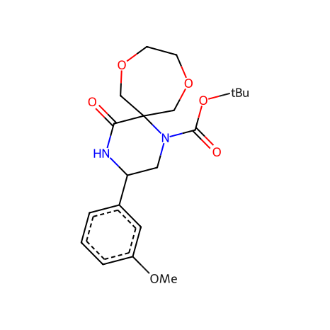 COc1cccc(C2CN(C(=O)OC(C)(C)C)C3(COCCOC3)C(=O)N2)c1